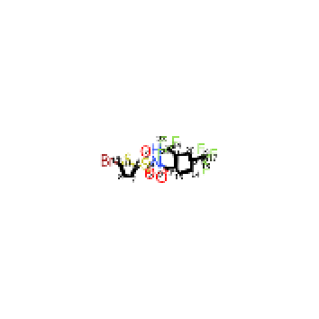 O=C(NS(=O)(=O)c1ccc(Br)s1)c1ccc(C(F)(F)F)cc1C(F)(F)F